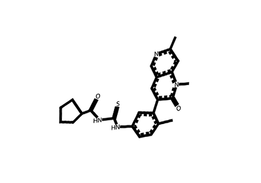 Cc1cc2c(cn1)cc(-c1cc(NC(=S)NC(=O)C3CCCC3)ccc1C)c(=O)n2C